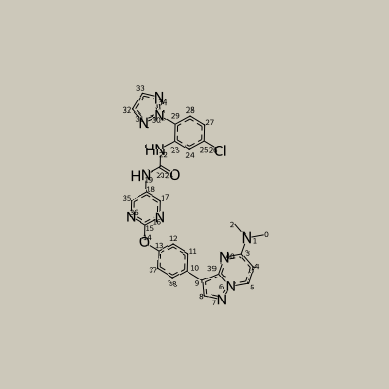 CN(C)c1ccn2ncc(-c3ccc(Oc4ncc(NC(=O)Nc5cc(Cl)ccc5-n5nccn5)cn4)cc3)c2n1